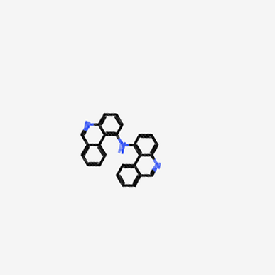 c1ccc2c(c1)cnc1cccc(Nc3cccc4ncc5ccccc5c34)c12